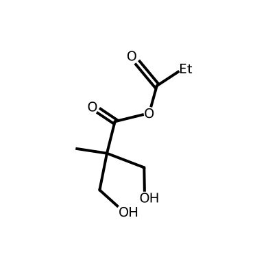 CCC(=O)OC(=O)C(C)(CO)CO